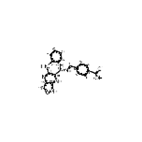 O=C(O)c1ccc(C=NNc2nc3nonc3nc2Nc2ccccc2)cc1